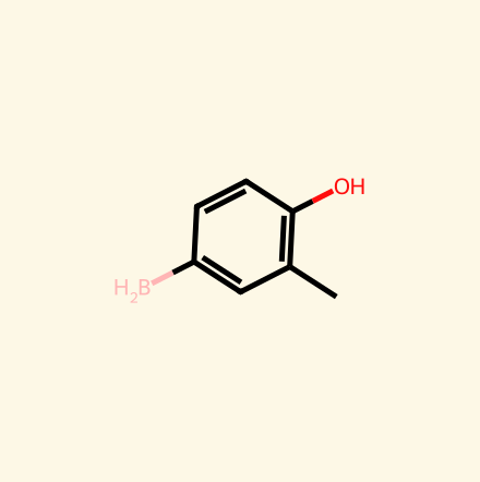 Bc1ccc(O)c(C)c1